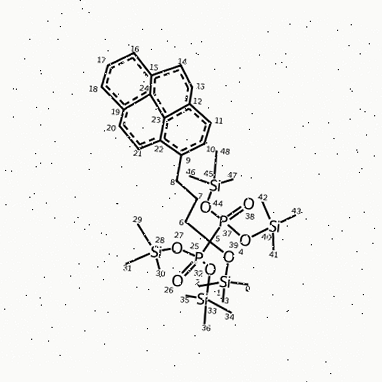 C[Si](C)(C)OC(CCCc1ccc2ccc3cccc4ccc1c2c34)(P(=O)(O[Si](C)(C)C)O[Si](C)(C)C)P(=O)(O[Si](C)(C)C)O[Si](C)(C)C